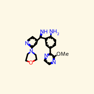 COc1nccnc1-c1ccc(N)c(C(=N)c2ccnc(N3CCOCC3)c2)c1